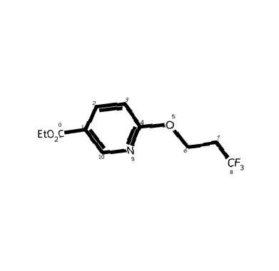 CCOC(=O)c1ccc(OCCC(F)(F)F)nc1